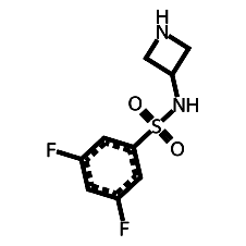 O=S(=O)(NC1CNC1)c1cc(F)cc(F)c1